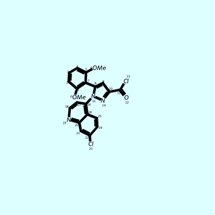 COc1cccc(OC)c1-c1cc(C(=O)Cl)nn1-c1ccnc2cc(Cl)ccc12